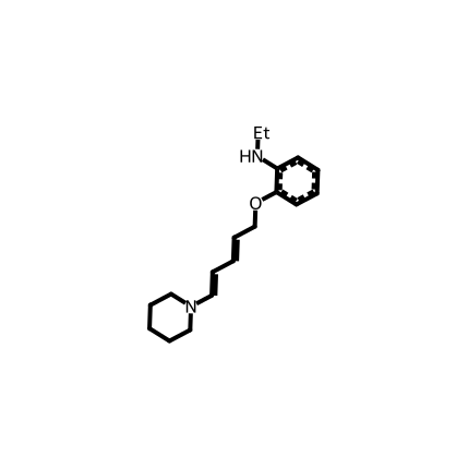 CCNc1ccccc1OC/C=C/C=C/N1CCCCC1